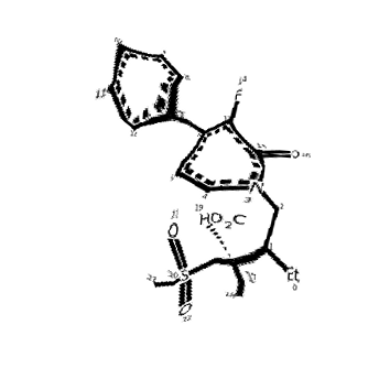 CCC(Cn1ccc(-c2ccccc2)c(F)c1=O)[C@](C)(C(=O)O)S(C)(=O)=O